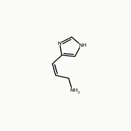 NC/C=C\c1c[nH]cn1